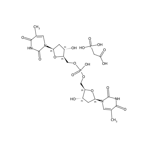 Cc1cn([C@H]2C[C@H](O)[C@@H](COP(=O)(O)OC[C@H]3O[C@@H](n4cc(C)c(=O)[nH]c4=O)C[C@@H]3O)O2)c(=O)[nH]c1=O.O=C(O)CP(=O)(O)O